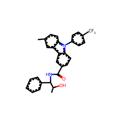 Cc1ccc2c(c1)c1cc(C(=O)NC(c3ccccc3)C(C)O)ccc1n2-c1ccc(C(F)(F)F)cc1